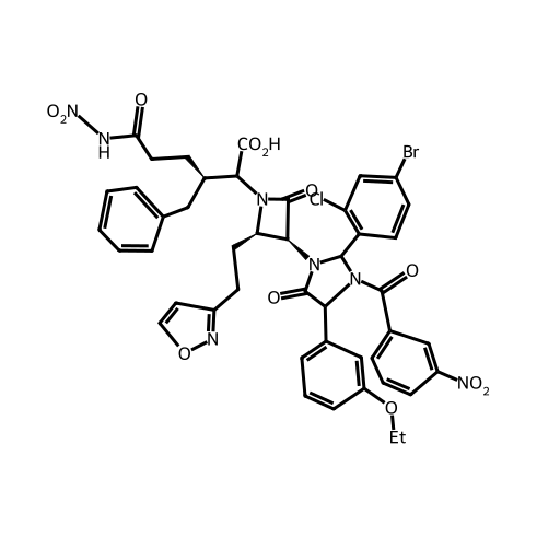 CCOc1cccc(C2C(=O)N([C@@H]3C(=O)N(C(C(=O)O)[C@H](CCC(=O)N[N+](=O)[O-])Cc4ccccc4)[C@@H]3CCc3ccon3)C(c3ccc(Br)cc3Cl)N2C(=O)c2cccc([N+](=O)[O-])c2)c1